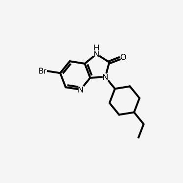 CCC1CCC(n2c(=O)[nH]c3cc(Br)cnc32)CC1